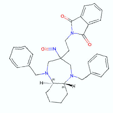 O=NC1(CCN2C(=O)c3ccccc3C2=O)CN(Cc2ccccc2)[C@@H]2CCCC[C@H]2N(Cc2ccccc2)C1